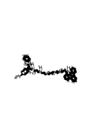 CC(C)N1CCc2c(sc(NC(=O)CCNCCCOCCOCCOCCCNC(c3ccccc3)(c3ccccc3)c3ccccc3)c2-c2nc3ccccc3s2)C1